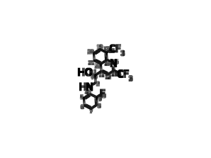 O[C@@H](CNc1ccccc1F)c1cc(C(F)(F)F)nc2c(C(F)(F)F)cccc12